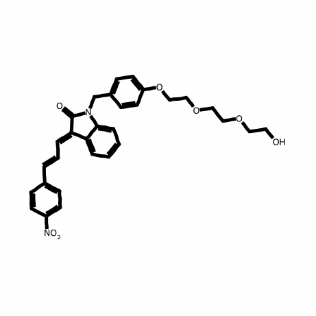 O=C1/C(=C/C=C/c2ccc([N+](=O)[O-])cc2)c2ccccc2N1Cc1ccc(OCCOCCOCCO)cc1